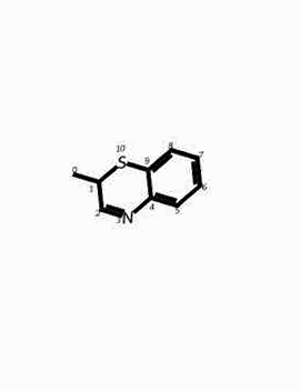 CC1C=Nc2ccccc2S1